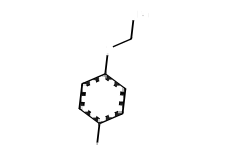 CC(C)(C)CSc1ccc(Cl)cc1